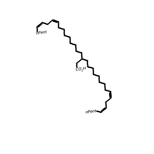 CCCCC/C=C\C/C=C\CCCCCCCCC(CCCCCCCC/C=C\C/C=C\CCCCC)CC(=O)O